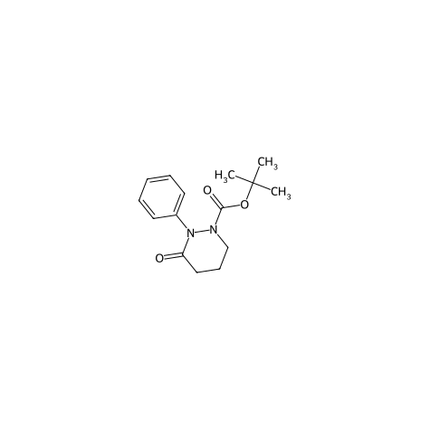 CC(C)(C)OC(=O)N1CCCC(=O)N1c1ccccc1